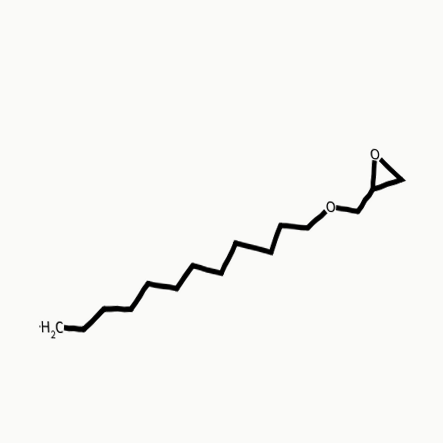 [CH2]CCCCCCCCCCCOCC1CO1